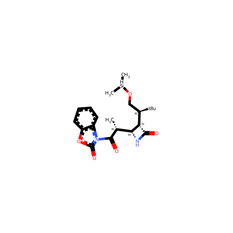 C[C@@H](C(=O)n1c(=O)oc2ccccc21)[C@H]1NC(=O)[C@H]1[C@@H](CO[SiH](C)C)C(C)(C)C